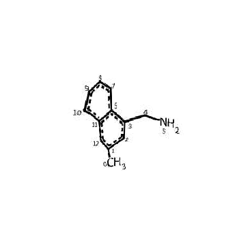 Cc1cc(CN)c2ccccc2c1